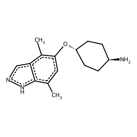 Cc1c(O[C@H]2CC[C@H](N)CC2)cc(C)c2[nH]ncc12